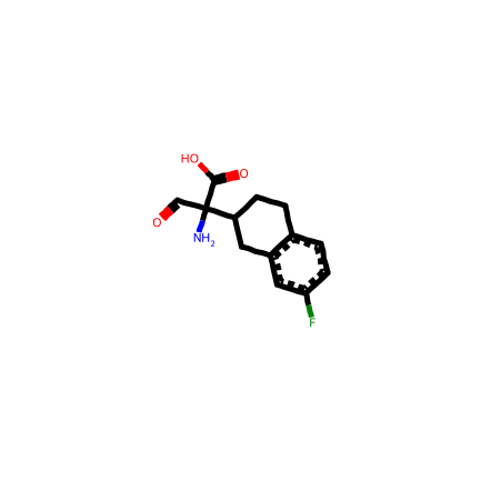 NC(C=O)(C(=O)O)C1CCc2ccc(F)cc2C1